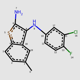 Cc1ccc2sc(N)c(Nc3ccc(F)c(Cl)c3)c2c1